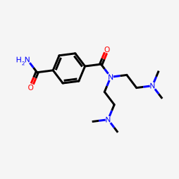 CN(C)CCN(CCN(C)C)C(=O)c1ccc(C(N)=O)cc1